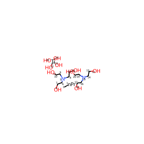 CCCC.OCCN(CCO)CCO.OCCN(CCO)CCO.[OH][Ti]([OH])([OH])[OH]